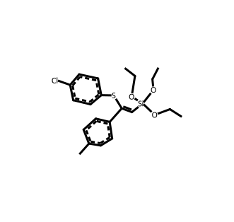 CCO[Si](/C=C(\Sc1ccc(Cl)cc1)c1ccc(C)cc1)(OCC)OCC